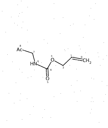 C=CCOC(=O)NCC(C)=O